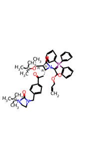 C=CCOC(=O)C(N1C(=O)[C@H]([C@@H](C)O[Si](C)(C)C)[C@H]1CC(=O)c1ccc(CN2CCN([Si](C)(C)C)C2=O)cc1)=P(c1ccccc1)(c1ccccc1)c1ccccc1